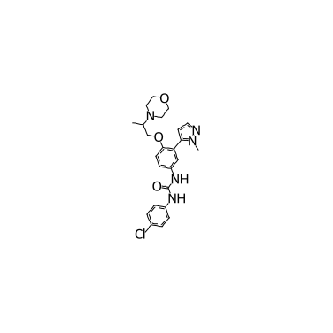 CC(COc1ccc(NC(=O)Nc2ccc(Cl)cc2)cc1-c1ccnn1C)N1CCOCC1